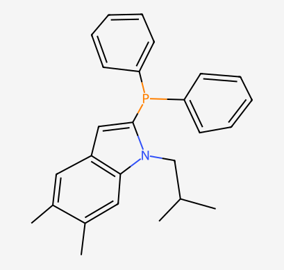 Cc1cc2cc(P(c3ccccc3)c3ccccc3)n(CC(C)C)c2cc1C